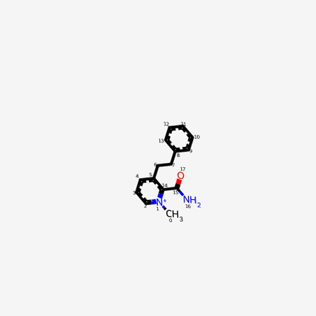 C[n+]1cccc(CCc2ccccc2)c1C(N)=O